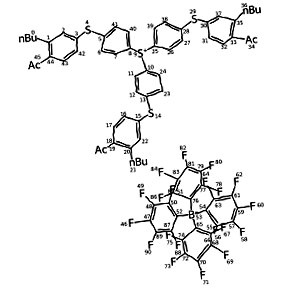 CCCCc1cc(Sc2ccc([S+](c3ccc(Sc4ccc(C(C)=O)c(CCCC)c4)cc3)c3ccc(Sc4ccc(C(C)=O)c(CCCC)c4)cc3)cc2)ccc1C(C)=O.Fc1c(F)c(F)c([B-](c2c(F)c(F)c(F)c(F)c2F)(c2c(F)c(F)c(F)c(F)c2F)c2c(F)c(F)c(F)c(F)c2F)c(F)c1F